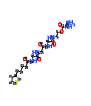 NNC(=O)OCCNC(=O)CNC(=O)CNC(=O)CNC(=O)CCCCC1CCSS1